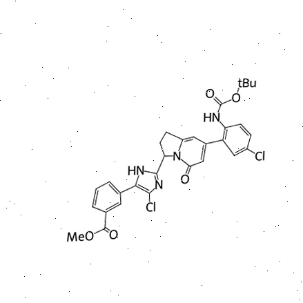 COC(=O)c1cccc(-c2[nH]c(C3CCc4cc(-c5cc(Cl)ccc5NC(=O)OC(C)(C)C)cc(=O)n43)nc2Cl)c1